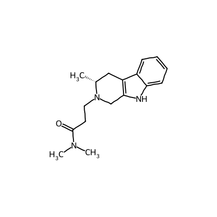 C[C@@H]1Cc2c([nH]c3ccccc23)CN1CCC(=O)N(C)C